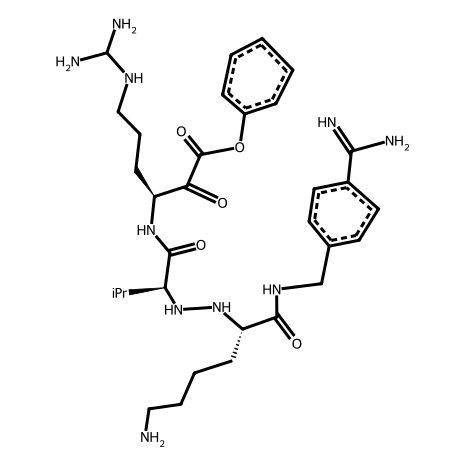 CC(C)[C@H](NN[C@@H](CCCCN)C(=O)NCc1ccc(C(=N)N)cc1)C(=O)N[C@@H](CCCNC(N)N)C(=O)C(=O)Oc1ccccc1